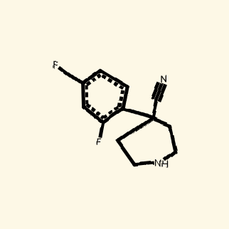 N#CC1(c2ccc(F)cc2F)CCNCC1